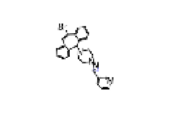 BrC1=Cc2ccccc2C(N2CCN(/N=C/c3cccnc3)CC2)c2ccccc21